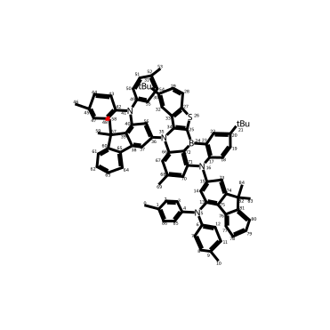 Cc1ccc(N(c2ccc(C)cc2)c2cc(N3c4ccc(C(C)(C)C)cc4B4c5sc6ccc(C(C)(C)C)cc6c5N(c5cc6c(c(N(c7ccc(C)cc7)c7ccc(C)cc7)c5)C(C)(C)c5ccccc5-6)c5cc(C)cc3c54)cc3c2-c2ccccc2C3(C)C)cc1